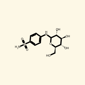 NS(=O)(=O)c1ccc(NC2O[C@H](CO)[C@@H](O)[C@H](O)[C@H]2O)cc1